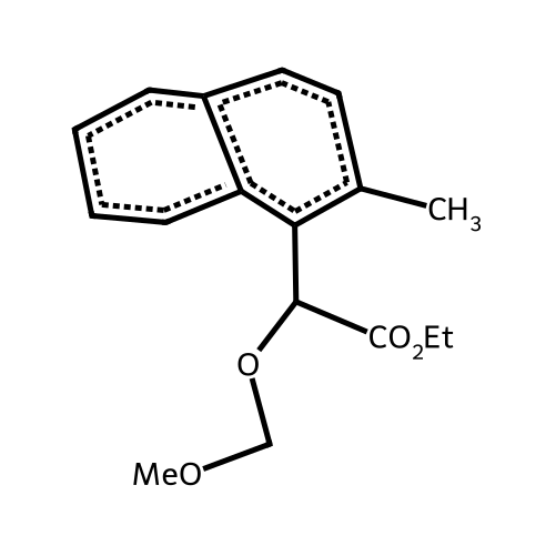 CCOC(=O)C(OCOC)c1c(C)ccc2ccccc12